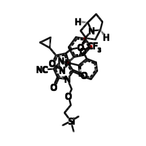 C[Si](C)(C)CCOCn1c(=O)c(C#N)nn(-c2ccc(N3[C@@H]4CC[C@H]3C[C@@H](OCc3c(-c5ccccc5OC(F)(F)F)noc3C3CC3)C4)cc2)c1=O